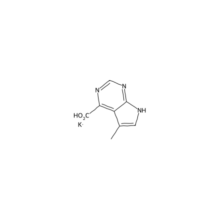 Cc1c[nH]c2ncnc(C(=O)O)c12.[K]